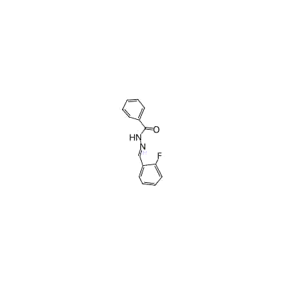 O=C(N/N=C/c1ccccc1F)c1ccccc1